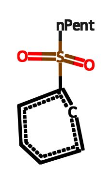 CCCCCS(=O)(=O)c1ccccc1